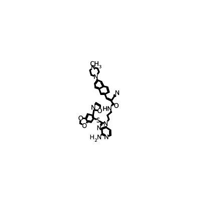 CN1CCN(c2ccc3cc(/C=C(\C#N)C(=O)NCCCn4c(Sc5cc6c(cc5-c5ncco5)OCO6)nc5c(N)nccc54)ccc3c2)CC1